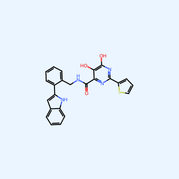 O=C(NCc1ccccc1-c1cc2ccccc2[nH]1)c1nc(-c2cccs2)nc(O)c1O